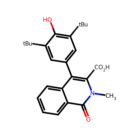 Cn1c(C(=O)O)c(-c2cc(C(C)(C)C)c(O)c(C(C)(C)C)c2)c2ccccc2c1=O